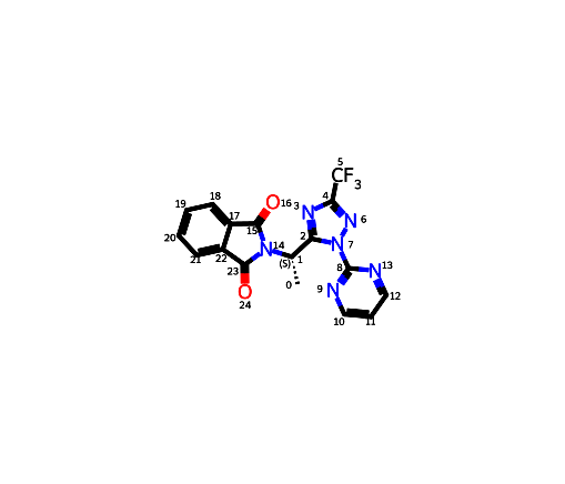 C[C@@H](c1nc(C(F)(F)F)nn1-c1ncccn1)N1C(=O)c2ccccc2C1=O